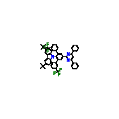 CC(C)(C)c1ccc2c(c1)c1cc(C(C)(C)C)ccc1n2-c1c(-c2cccc(C(F)(F)F)c2)cc(-c2nc(-c3ccccc3)cc(-c3ccccc3)n2)cc1-c1cccc(C(F)(F)F)c1